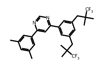 Cc1cc(C)cc(-c2cc(-c3cc(CC(C)(C)C(F)(F)F)cc(CC(C)(C)C(F)(F)F)c3)ncn2)c1